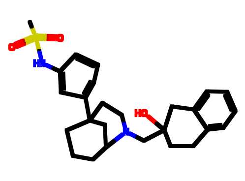 CS(=O)(=O)Nc1cccc(C23CCCC(C2)N(CC2(O)CCc4ccccc4C2)CC3)c1